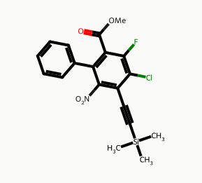 COC(=O)c1c(F)c(Cl)c(C#C[Si](C)(C)C)c([N+](=O)[O-])c1-c1ccccc1